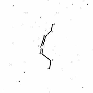 CCC=C=CCC